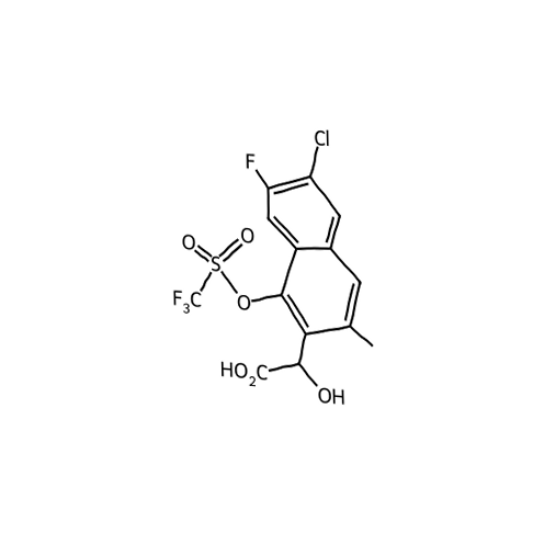 Cc1cc2cc(Cl)c(F)cc2c(OS(=O)(=O)C(F)(F)F)c1C(O)C(=O)O